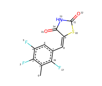 Cc1c(F)c(F)cc(C=C2SC(=O)NC2=O)c1F